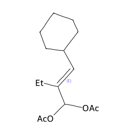 CC/C(=C\C1CCCCC1)C(OC(C)=O)OC(C)=O